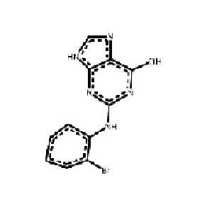 Oc1nc(Nc2ccccc2Br)nc2[nH]cnc12